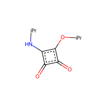 CC(C)Nc1c(OC(C)C)c(=O)c1=O